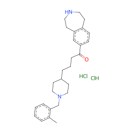 Cc1ccccc1CN1CCC(CCCC(=O)c2ccc3c(c2)CCNCC3)CC1.Cl.Cl